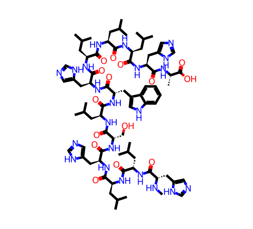 CN[C@@H](Cc1cnc[nH]1)C(=O)N[C@@H](CC(C)C)C(=O)N[C@@H](CC(C)C)C(=O)N[C@@H](Cc1cnc[nH]1)C(=O)N[C@@H](CO)C(=O)N[C@@H](CC(C)C)C(=O)N[C@@H](Cc1c[nH]c2ccccc12)C(=O)N[C@@H](Cc1cnc[nH]1)C(=O)N[C@@H](CC(C)C)C(=O)N[C@@H](CC(C)C)C(=O)N[C@@H](CC(C)C)C(=O)N[C@@H](Cc1cnc[nH]1)C(=O)N[C@@H](C)C(=O)O